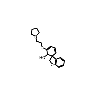 OCC1(c2ccccc2)C=CC=C(OCCN2CCCC2)C1O